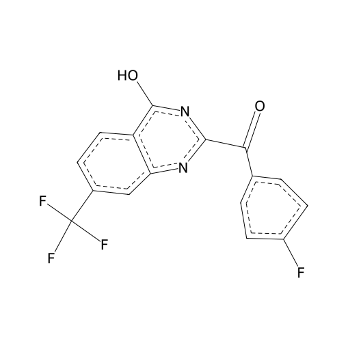 O=C(c1ccc(F)cc1)c1nc(O)c2ccc(C(F)(F)F)cc2n1